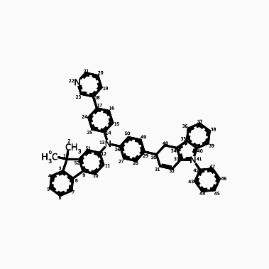 CC1(C)c2ccccc2-c2ccc(N(c3ccc(-c4cccnc4)cc3)c3ccc(C4C=Cc5c(c6ccccc6n5-c5ccccc5)C4)cc3)cc21